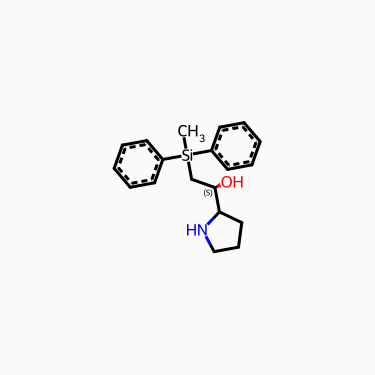 C[Si](C[C@@H](O)C1CCCN1)(c1ccccc1)c1ccccc1